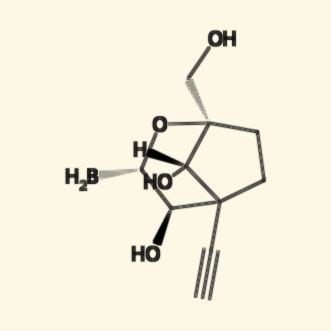 B[C@@H]1O[C@@]2(CO)CCC(C#C)([C@H]1O)[C@@H]2O